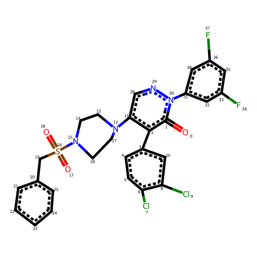 O=c1c(-c2ccc(Cl)c(Cl)c2)c(N2CCN(S(=O)(=O)Cc3ccccc3)CC2)cnn1-c1cc(F)cc(F)c1